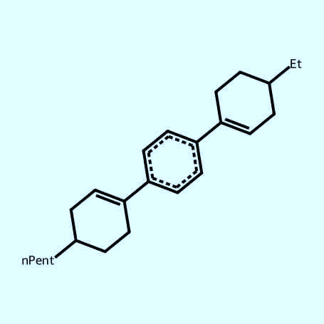 CCCCCC1CC=C(c2ccc(C3=CCC(CC)CC3)cc2)CC1